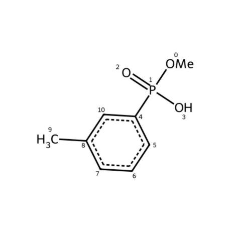 COP(=O)(O)c1cccc(C)c1